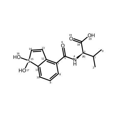 CC(C)[C@@H](NC(=O)c1cccc2c1C=CS2(O)O)C(=O)O